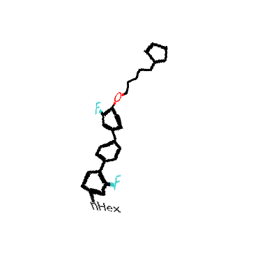 CCCCCCc1ccc(-c2ccc(-c3ccc(OCCCCCC4CCCC4)c(F)c3)cc2)c(F)c1